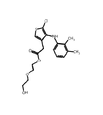 Cc1cccc(Nc2c(CC(=O)OCCOCCO)csc2Cl)c1C